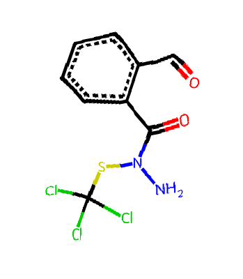 NN(SC(Cl)(Cl)Cl)C(=O)c1ccccc1C=O